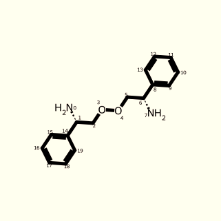 N[C@H](COOC[C@@H](N)c1ccccc1)c1ccccc1